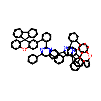 c1ccc(-c2cc(-c3cccc(-c4cccc5c4-c4ccccc4C54c5ccccc5Oc5ccc(-c6ccccc6-c6nc(-c7ccccc7)cc(-c7ccccc7-c7ccccc7)n6)cc54)c3)nc(-c3ccccc3-c3ccc4c(c3)C3(c5ccccc5O4)c4ccccc4-c4ccccc43)n2)cc1